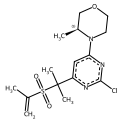 C=C(C)S(=O)(=O)C(C)(C)c1cc(N2CCOC[C@@H]2C)nc(Cl)n1